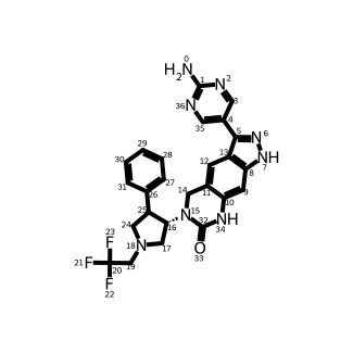 Nc1ncc(-c2n[nH]c3cc4c(cc23)CN([C@@H]2CN(CC(F)(F)F)CC2c2ccccc2)C(=O)N4)cn1